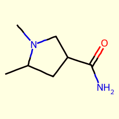 CC1CC(C(N)=O)CN1C